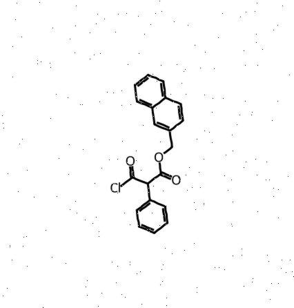 O=C(Cl)C(C(=O)OCc1ccc2ccccc2c1)c1ccccc1